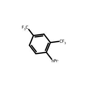 CC[CH]c1ccc(C(F)(F)F)cc1C(F)(F)F